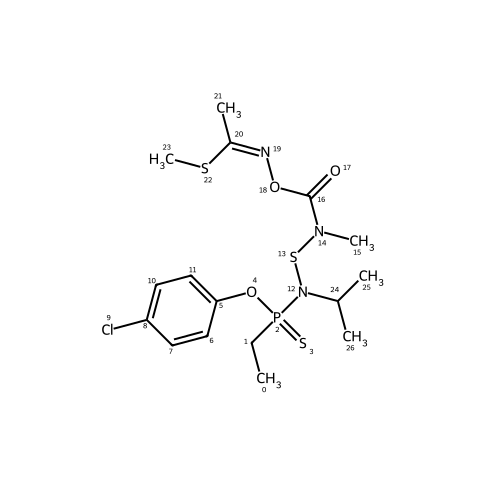 CCP(=S)(Oc1ccc(Cl)cc1)N(SN(C)C(=O)ON=C(C)SC)C(C)C